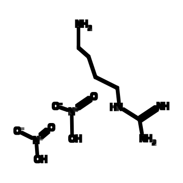 N=C(N)NCCCCN.O=[N+]([O-])O.O=[N+]([O-])O